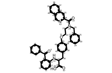 O=C(c1ccccc1)c1ccccc1NC(Cc1ccc(OCCN(Cc2ccccc2)C(=O)c2cc3ccccc3cn2)cc1)C(=O)O